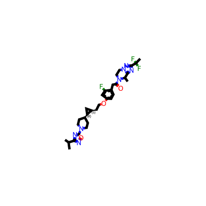 CC(C)c1noc(N2CCC([C@H]3C[C@H]3CCOc3ccc(CC(=O)N4CCn5nc(C(C)(F)F)nc5C4C)c(F)c3)CC2)n1